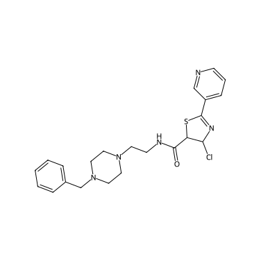 O=C(NCCN1CCN(Cc2ccccc2)CC1)C1SC(c2cccnc2)=NC1Cl